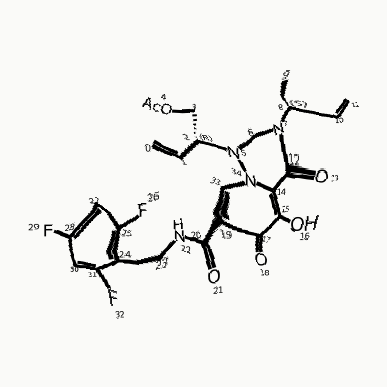 C=C[C@H](COC(C)=O)N1CN([C@@H](C)C=C)C(=O)c2c(O)c(=O)c(C(=O)NCc3c(F)cc(F)cc3F)cn21